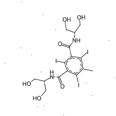 Cc1c(I)c(C(=O)NC(CO)CO)c(I)c(C(=O)NC(CO)CO)c1I